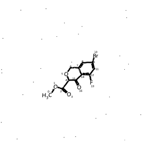 COC(=O)C1OCc2cc(Br)cc(F)c2C1=O